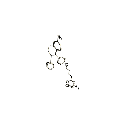 COC(CCCCOc1ccc(C2c3ccc(O)cc3CCC2c2ccccc2)cc1)OC